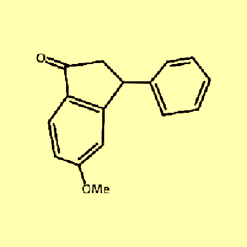 COc1ccc2c(c1)C(c1ccccc1)CC2=O